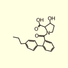 CCCc1ccc(-c2ccccc2C(=O)N2CCC(O)C2C(=O)O)cc1